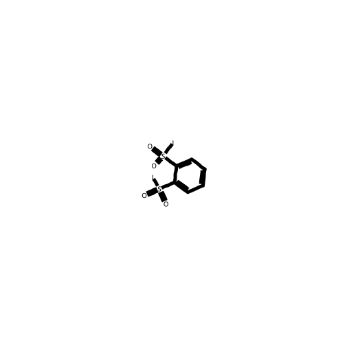 O=S(=O)(I)c1ccccc1S(=O)(=O)I